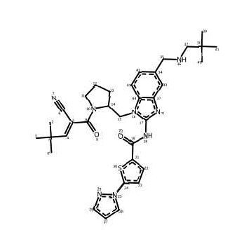 CC(C)(C)C=C(C#N)C(=O)N1CCCC1Cn1c(NC(=O)c2ccc(-n3cccn3)s2)nc2cc(CNCC(C)(C)C)ccc21